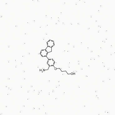 NCc1cc(-c2cccc3c2Cc2ccccc2-3)ccc1OCCCCO